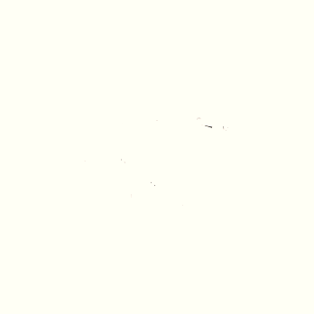 CO[C@@H]1CC[C@@H](c2ccc(C(C)C)nc2CN(C)C)C1